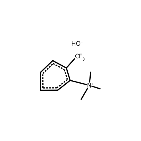 C[N+](C)(C)c1ccccc1C(F)(F)F.[OH-]